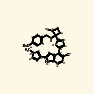 COc1ccc(CNC2(c3ncc(-c4c(Cl)cnc5[nH]c(-c6cnn(C)c6)cc45)s3)CCC2I)cc1